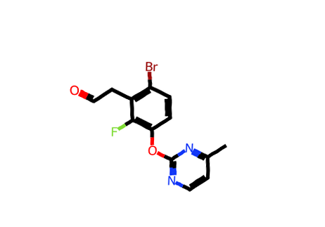 Cc1ccnc(Oc2ccc(Br)c(CC=O)c2F)n1